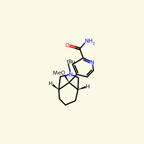 CO[C@]1(c2ccnc(C(N)=O)c2)[C@@H]2CCC[C@H]1CN(C(C)(C)C)C2